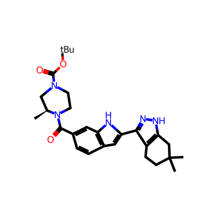 C[C@H]1CN(C(=O)OC(C)(C)C)CCN1C(=O)c1ccc2cc(-c3n[nH]c4c3CCC(C)(C)C4)[nH]c2c1